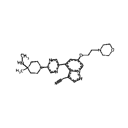 CNC1(C)CCN(c2cnc(-c3cc(OCCN4CCOCC4)cn4ncc(C#N)c34)cn2)CC1